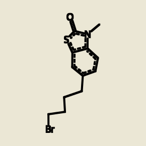 Cn1c(=O)sc2cc(CCCCBr)ccc21